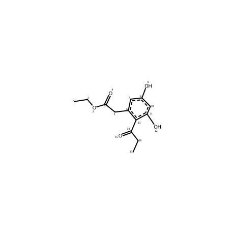 CCOC(=O)Cc1cc(O)cc(O)c1C(=O)CC